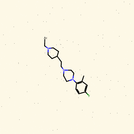 CC(=O)CN1CCC(CCN2CCN(c3ccc(F)cc3C)CC2)CC1